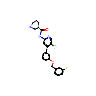 O=C(Nc1cc(-c2cccc(OCc3cccc(F)c3)c2)c(Cl)cn1)[C@@H]1CCCNC1